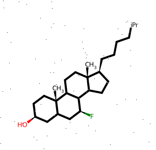 CC(C)CCCC[C@H]1CCC2C3C(CC[C@@]21C)[C@@]1(C)CC[C@H](O)CC1C[C@@H]3F